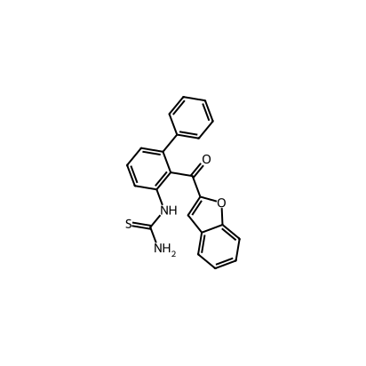 NC(=S)Nc1cccc(-c2ccccc2)c1C(=O)c1cc2ccccc2o1